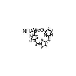 COc1ccnc(C[C@H]2CCN(Cc3cnc(NC(C)=O)s3)C2)n1